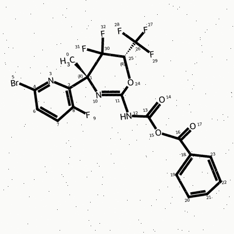 C[C@]1(c2nc(Br)ccc2F)N=C(NC(=O)OC(=O)c2ccccc2)O[C@@H](C(F)(F)F)C1(F)F